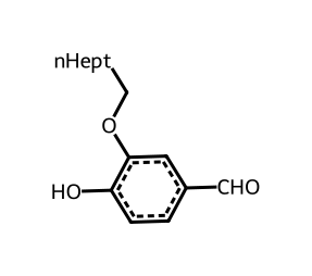 CCCCCCCCOc1cc(C=O)ccc1O